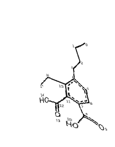 CCCCc1ccc(C(=O)O)c(C(=O)O)c1CC